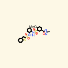 COc1ccc(-c2nc(C)no2)cc1S(=O)(=O)Nc1ccccc1NS(=O)(=O)c1cc2ccccc2s1